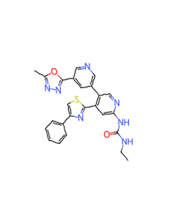 CCNC(=O)Nc1cc(-c2nc(-c3ccccc3)cs2)c(-c2cncc(-c3nnc(C)o3)c2)cn1